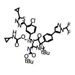 CC(C)(C)C[C@]1(c2ccc(-c3cnn(C(F)F)c3)cc2)N/C(=N\C(=O)OC(C)(C)C)N([C@H](COC(=O)NC2CC2)c2ccc(Cl)c(-c3nnc(C4CC4)s3)c2)C1=O